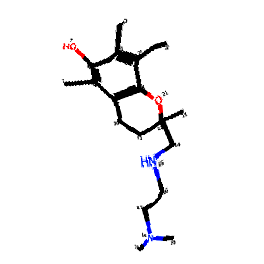 Cc1c(C)c2c(c(C)c1O)CCC(C)(CNCCN(C)C)O2